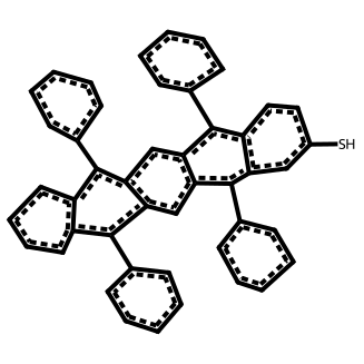 Sc1ccc2c(-c3ccccc3)c3cc4c(-c5ccccc5)c5ccccc5c(-c5ccccc5)c4cc3c(-c3ccccc3)c2c1